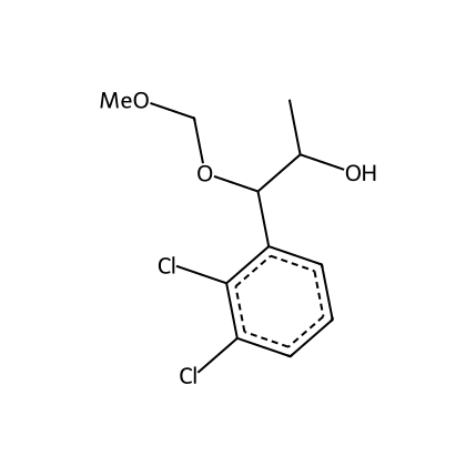 COCOC(c1cccc(Cl)c1Cl)C(C)O